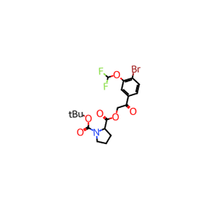 CC(C)(C)OC(=O)N1CCCC1C(=O)OCC(=O)c1ccc(Br)c(OC(F)F)c1